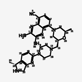 Bc1nc2c(C#N)ccc(N3C[C@H](CN4CCN(c5ccc6c(n5)CN[C@@H]6C)CC4)O[C@H](C)C3)c2nc1B